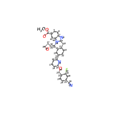 COC(=O)c1ccc2nc(Cc3ccc(-c4cccc(OCc5ccc(C#N)cc5F)n4)cc3)n(C[C@@H]3CCO3)c2c1